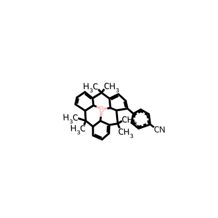 CC1(C)C2=CC=C(c3ccc(C#N)cc3)C3C2B2C4C1=CC=CC4C(C)(C)C1C=CC=C(C21)C3(C)C